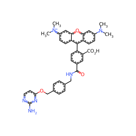 CN(C)c1ccc2c(-c3ccc(C(=O)NCc4ccc(COc5ccnc(N)n5)cc4)cc3C(=O)O)c3ccc(=[N+](C)C)cc-3oc2c1